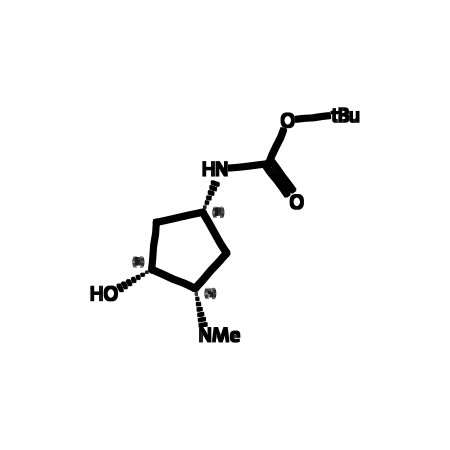 CN[C@H]1C[C@@H](NC(=O)OC(C)(C)C)C[C@H]1O